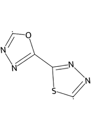 [c]1nnc(-c2nn[c]s2)o1